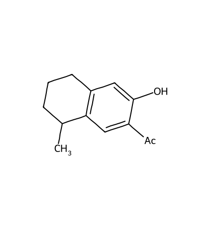 CC(=O)c1cc2c(cc1O)CCCC2C